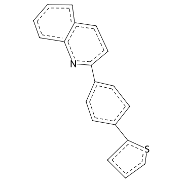 c1csc(-c2ccc(-c3ccc4ccccc4n3)cc2)c1